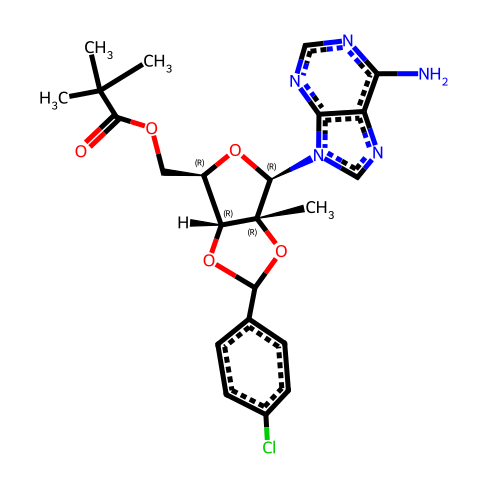 CC(C)(C)C(=O)OC[C@H]1O[C@@H](n2cnc3c(N)ncnc32)[C@]2(C)OC(c3ccc(Cl)cc3)O[C@H]12